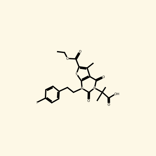 CCOC(=O)c1sc2c(c1C)c(=O)n(C(C)(C)C(=O)O)c(=O)n2CCc1ccc(I)cc1